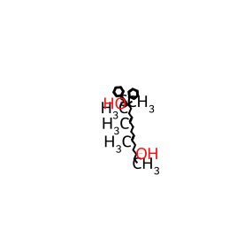 CC[C@@H](O)CC/C(C)=C/CC/C(C)=C/CCC(C)(C)[Si](O)(c1ccccc1)c1ccccc1